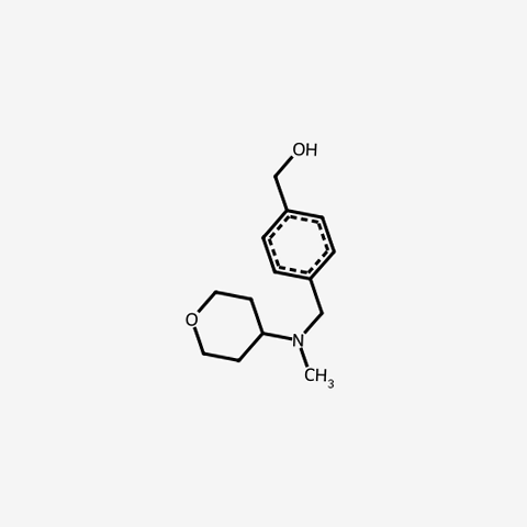 CN(Cc1ccc(CO)cc1)C1CCOCC1